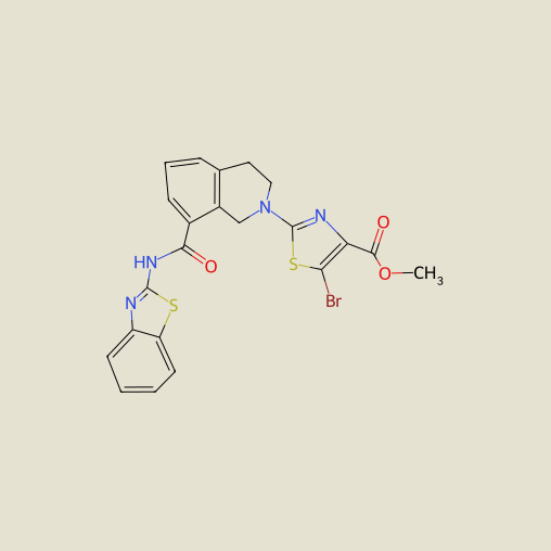 COC(=O)c1nc(N2CCc3cccc(C(=O)Nc4nc5ccccc5s4)c3C2)sc1Br